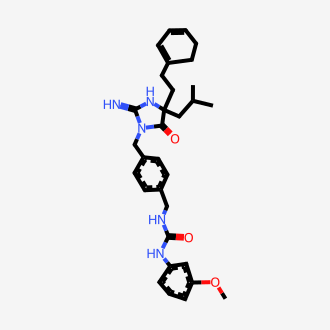 COc1cccc(NC(=O)NCc2ccc(CN3C(=N)NC(CCC4=CC=CCC4)(CC(C)C)C3=O)cc2)c1